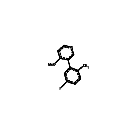 COc1ccncc1-c1cc(F)ccc1C